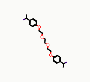 CC(I)c1ccc(OCCOCCOCCOc2ccc(C(C)I)cc2)cc1